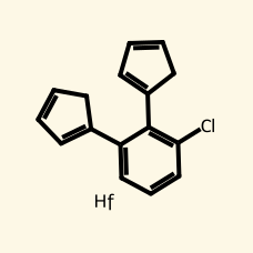 Clc1cccc(C2=CC=CC2)c1C1=CC=CC1.[Hf]